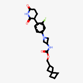 O=C1CCC(c2ccc(N3CC(NC(=O)OCC4CC5(CCC5)C4)C3)cc2F)C(=O)N1